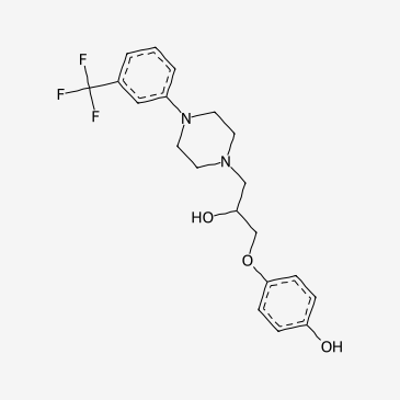 Oc1ccc(OCC(O)CN2CCN(c3cccc(C(F)(F)F)c3)CC2)cc1